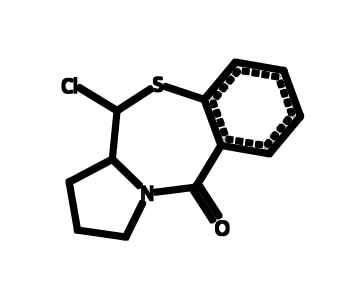 O=C1c2ccccc2SC(Cl)C2CCCN12